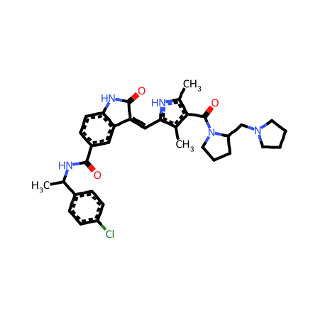 Cc1[nH]c(C=C2C(=O)Nc3ccc(C(=O)NC(C)c4ccc(Cl)cc4)cc32)c(C)c1C(=O)N1CCCC1CN1CCCC1